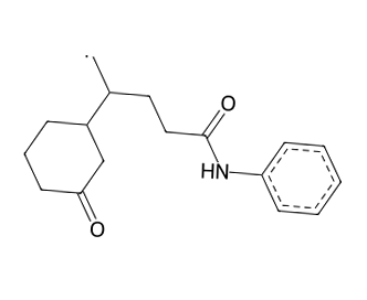 [CH2]C(CCC(=O)Nc1ccccc1)C1CCCC(=O)C1